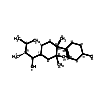 CC(C)[C@@H](C)C(O)N1CC[C@](C)(C2=CCC(Cl)CC2)C(C)(C)C1